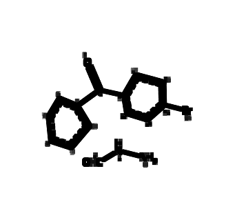 NNC=O.O=C(c1ccccc1)c1ccc(Br)cc1